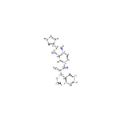 CC[C@H](C(=O)Nc1ccc2nc(-c3cscn3)[nH]c2c1)c1ccccc1